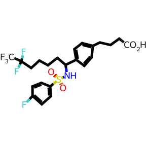 O=C(O)CCCc1ccc(C(CCCCC(F)(F)C(F)(F)F)NS(=O)(=O)c2ccc(F)cc2)cc1